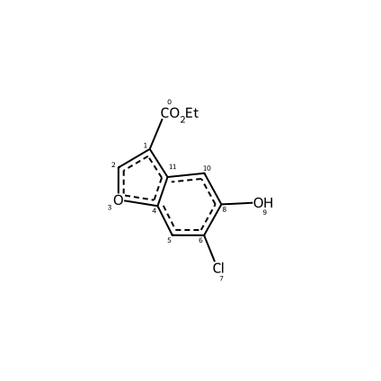 CCOC(=O)c1coc2cc(Cl)c(O)cc12